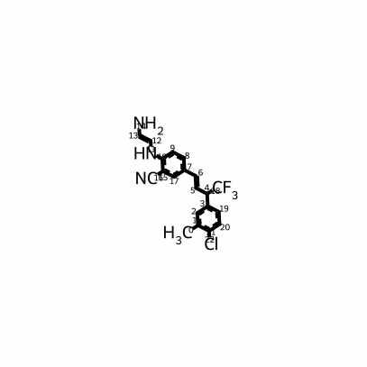 Cc1cc(C(/C=C/c2ccc(N/C=C/N)c(C#N)c2)C(F)(F)F)ccc1Cl